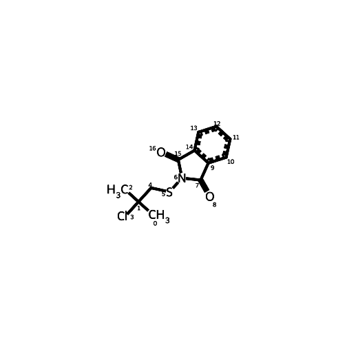 CC(C)(Cl)CSN1C(=O)c2ccccc2C1=O